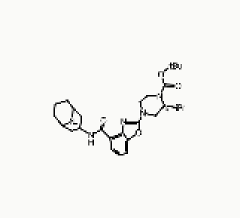 CC(C)[C@H]1CN(c2nc3c(C(=O)NC4CC5CCCC(C4)N5C)cccc3o2)CCN1C(=O)OC(C)(C)C